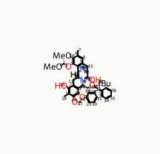 COCOc1c(OC)c(C)cc2c1C1[C@@H]3Cc4c(O)c(C)c5c(c4[C@H](CO[Si](c4ccccc4)(c4ccccc4)C(C)(C)C)N3[C@@H](O)C(C2)N1C)OCO5